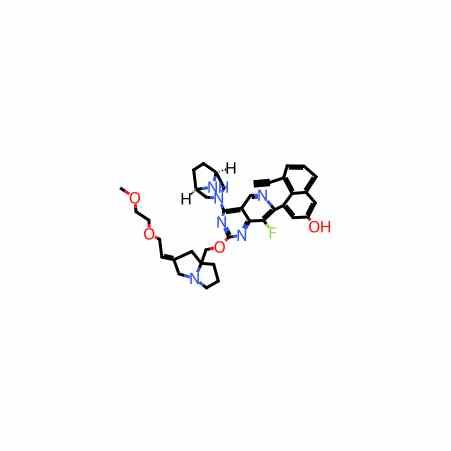 C#Cc1cccc2cc(O)cc(-c3ncc4c(N5C[C@H]6CC[C@@H](C5)N6)nc(OCC56CCCN5CC(=CCOCCOC)C6)nc4c3F)c12